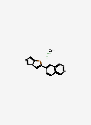 C1=CC2C=C(c3ccc4ccccc4c3)SC2=C1.[Cl-].[Cl-].[Zr+2]